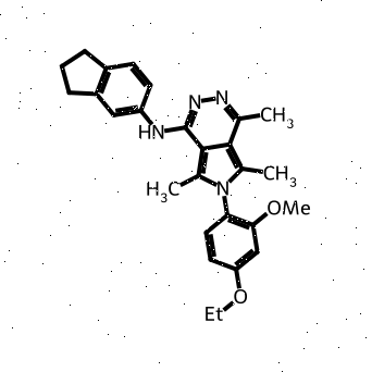 CCOc1ccc(-n2c(C)c3c(C)nnc(Nc4ccc5c(c4)CCC5)c3c2C)c(OC)c1